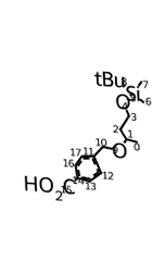 CC(CCO[Si](C)(C)C(C)(C)C)OCc1ccc(C(=O)O)cc1